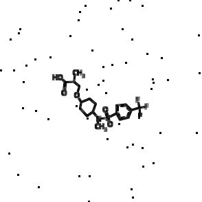 CC(COC1CCC(N(C)S(=O)(=O)c2ccc(C(F)(F)F)cc2)CC1)C(=O)O